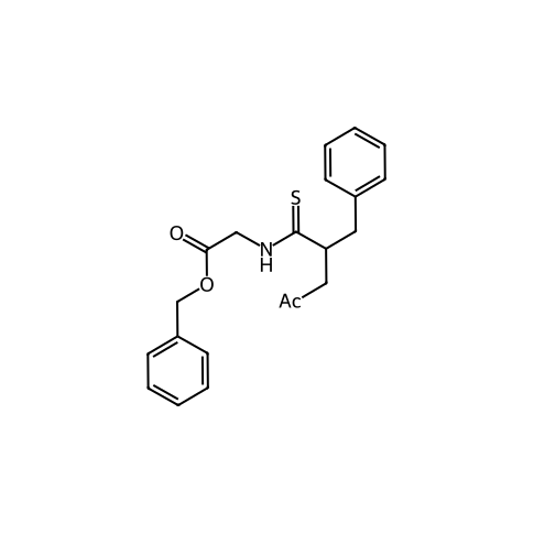 CC(=O)CC(Cc1ccccc1)C(=S)NCC(=O)OCc1ccccc1